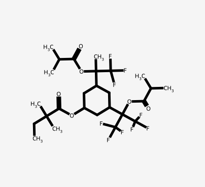 CCC(C)(C)C(=O)OC1CC(C(C)(OC(=O)C(C)C)C(F)(F)F)CC(C(OC(=O)C(C)C)(C(F)(F)F)C(F)(F)F)C1